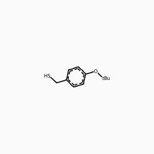 CC(C)(C)Oc1ccc(CS)cc1